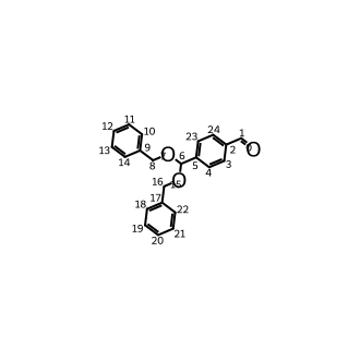 O=Cc1ccc(C(OCc2ccccc2)OCc2ccccc2)cc1